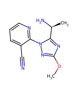 COc1nc([C@H](C)N)n(-c2ncccc2C#N)n1